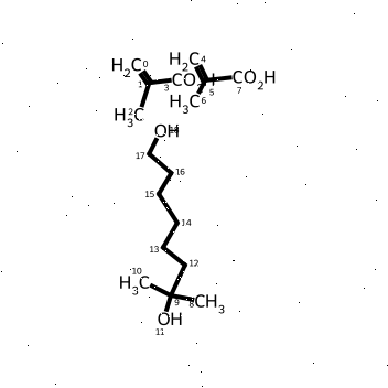 C=C(C)C(=O)O.C=C(C)C(=O)O.CC(C)(O)CCCCCCO